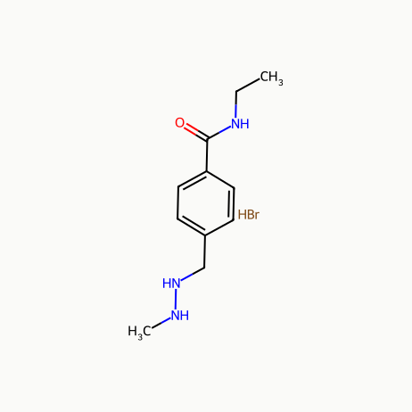 Br.CCNC(=O)c1ccc(CNNC)cc1